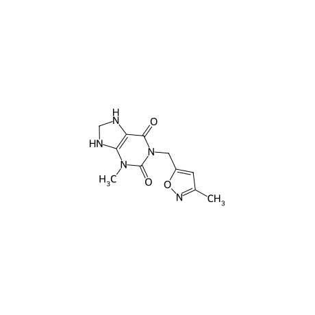 Cc1cc(Cn2c(=O)c3c(n(C)c2=O)NCN3)on1